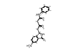 Nc1ccc2c(c1)C(=O)NC2CC(=O)CC(=O)Nc1ccccc1